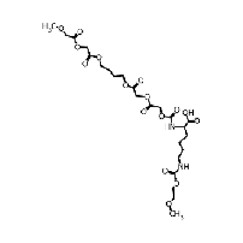 COCCOC(=O)NCCCCC(NC(=O)OCC(=O)OCC(=O)OCCCCOC(=O)COC(=O)COC)C(=O)O